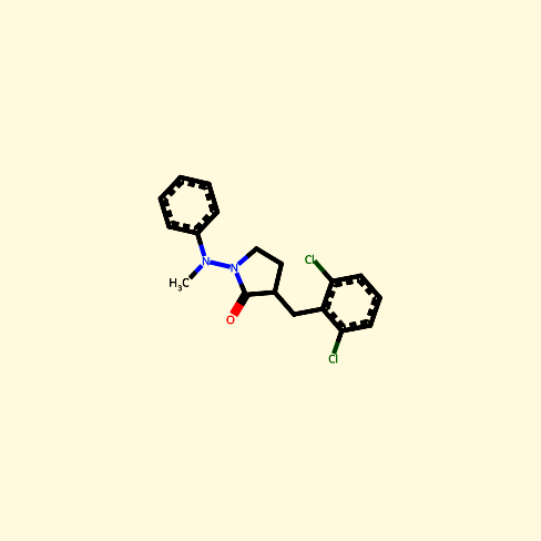 CN(c1ccccc1)N1CCC(Cc2c(Cl)cccc2Cl)C1=O